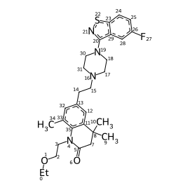 CCOCCN1C(=O)CC(C)(C)c2cc(CCN3CCN(c4nsc5ccc(F)cc45)CC3)cc(C)c21